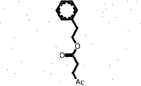 CC(=O)CCC(=O)OCCc1ccccc1